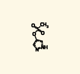 CS(=O)(=O)Oc1cn[nH]c1